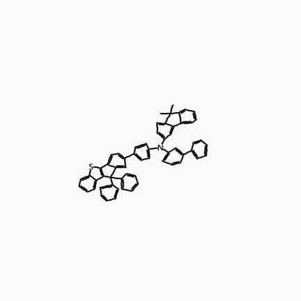 CC1(C)c2ccccc2-c2cc(N(c3ccc(-c4ccc5c(c4)C(c4ccccc4)(c4ccccc4)c4c-5sc5ccccc45)cc3)c3cccc(-c4ccccc4)c3)ccc21